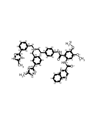 COc1cc(NC(=O)c2cnc3ccccc3n2)c(C(=O)Nc2ccc(CCN(Cc3cccc(-c4nc(C)no4)c3)Cc3cccc(-c4nc(C)no4)c3)cc2)cc1OC